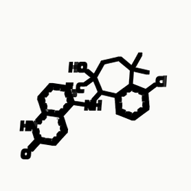 CC1(C)CCC(O)(C(F)(F)F)C(Nc2cccc3[nH]c(=O)ccc23)c2cccc(Cl)c21